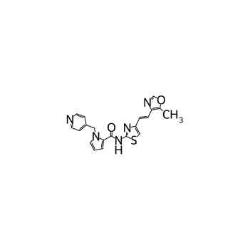 Cc1ocnc1C=Cc1csc(NC(=O)c2cccn2Cc2ccncc2)n1